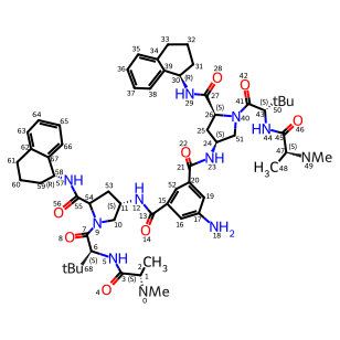 CN[C@@H](C)C(=O)N[C@H](C(=O)N1C[C@@H](NC(=O)c2cc(N)cc(C(=O)N[C@H]3C[C@@H](C(=O)N[C@@H]4CCCc5ccccc54)N(C(=O)[C@@H](NC(=O)[C@H](C)NC)C(C)(C)C)C3)c2)CC1C(=O)N[C@@H]1CCCc2ccccc21)C(C)(C)C